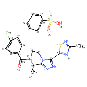 Cc1nsc(-c2nnc3n2CCN(C(=O)c2ccc(F)cc2)[C@@H]3C)n1.O=S(=O)(O)c1ccccc1